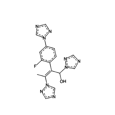 CC(=C(c1ccc(-n2cncn2)cc1F)C(O)n1cncn1)n1cncn1